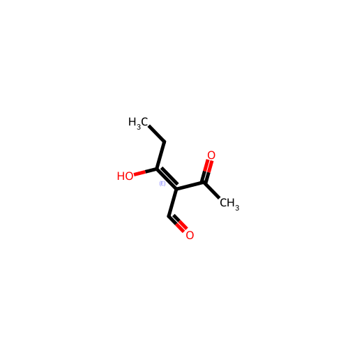 CC/C(O)=C(/C=O)C(C)=O